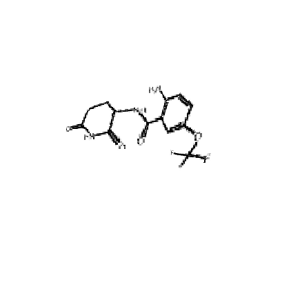 Nc1ccc(OC(F)(F)F)cc1C(=O)NC1CCC(=O)NC1=O